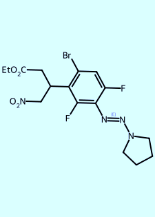 CCOC(=O)CC(C[N+](=O)[O-])c1c(Br)cc(F)c(/N=N/N2CCCC2)c1F